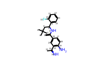 C=C(NC(CC(C)(C)C)c1ccccc1F)c1ccc(N)c(C(C)=N)c1